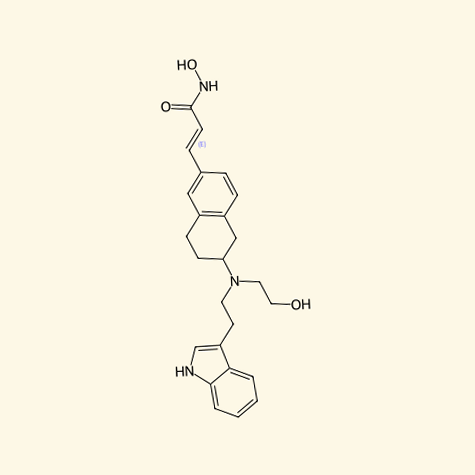 O=C(/C=C/c1ccc2c(c1)CCC(N(CCO)CCc1c[nH]c3ccccc13)C2)NO